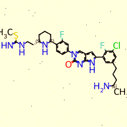 CSC(=N)NCC[C@@H]1CCC[C@@H](c2ccc(-n3cc4cc(-c5cc(CCC[C@H](C)N)cc(Cl)c5F)[nH]c4nc3=O)cc2F)N1